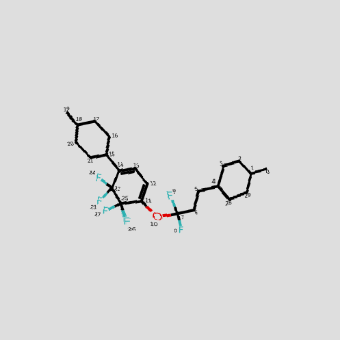 CC1CCC(CCC(F)(F)OC2=CC=C(C3CCC(C)CC3)C(F)(F)C2(F)F)CC1